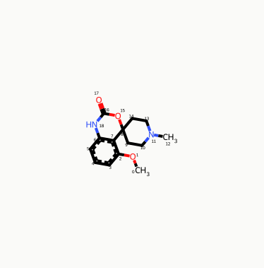 COc1cccc2c1C1(CCN(C)CC1)OC(=O)N2